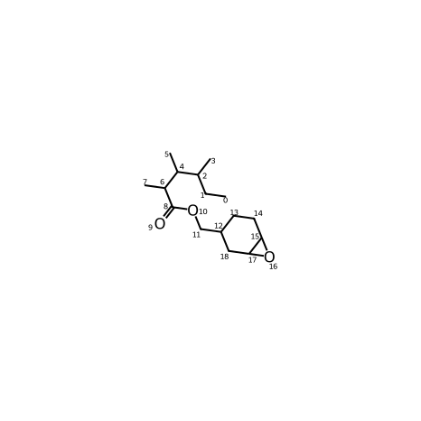 CCC(C)C(C)C(C)C(=O)OCC1CCC2OC2C1